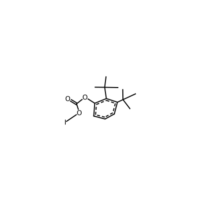 CC(C)(C)c1cccc(OC(=O)OI)c1C(C)(C)C